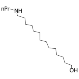 CCCNCCCCCCCCCCCCCCO